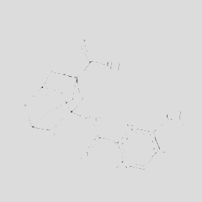 Cc1ccnc(C(=O)NC23CC4CC(C2)CC(C(N)=O)(C4)C3)n1